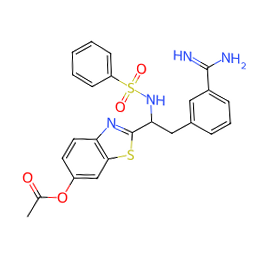 CC(=O)Oc1ccc2nc(C(Cc3cccc(C(=N)N)c3)NS(=O)(=O)c3ccccc3)sc2c1